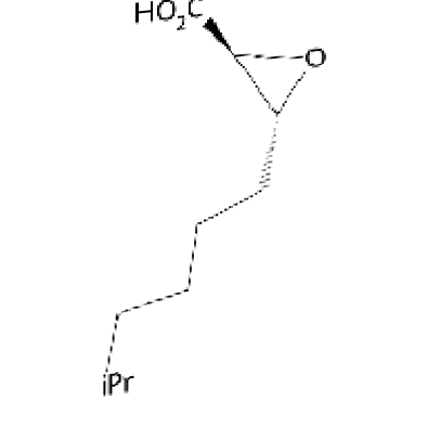 CC(C)CCCC[C@H]1O[C@@H]1C(=O)O